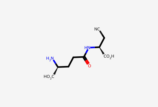 N#CC[C@H](NC(=O)CC[C@H](N)C(=O)O)C(=O)O